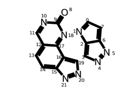 C1=NC2=CN=NC2=C1.O=C1N=Cc2ccc3c(c2=N1)=CN=N3